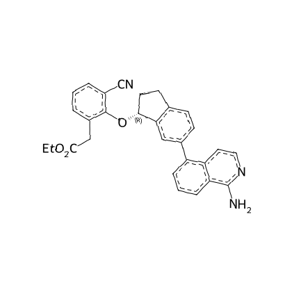 CCOC(=O)Cc1cccc(C#N)c1O[C@@H]1CCc2ccc(-c3cccc4c(N)nccc34)cc21